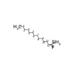 CCCCCCCCCCCCCC(F)[SiH3]